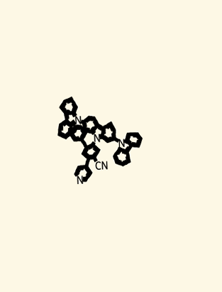 N#Cc1cc(-n2c3cc(-n4c5ccccc5c5ccccc54)ccc3c3ccc(-n4c5ccccc5c5ccccc54)cc32)c(-c2ccccc2)cc1-c1ccncc1